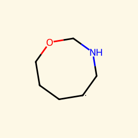 [CH]1CCCOCNC1